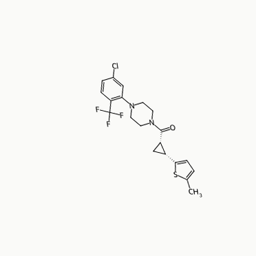 Cc1ccc([C@@H]2C[C@@H]2C(=O)N2CCN(c3cc(Cl)ccc3C(F)(F)F)CC2)s1